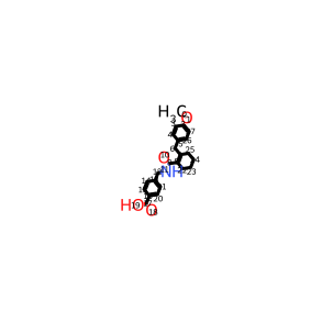 COc1ccc(CC2=C(C(=O)NCc3ccc(C(=O)O)cc3)CCCC2)cc1